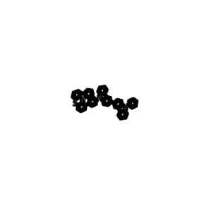 c1ccc(-n2c3ccccc3c3cc(-c4ccc5c(c4)c4ccccc4n5-c4ccc(-c5cccc6c5-n5c7ccccc7c7cccc(c75)S6)cc4)ccc32)cc1